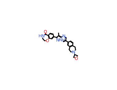 C=C(/C=N\c1[nH]nc(-c2ccc3c(c2)OCCNC3=O)c1C)c1ccc2c(c1)CCN(C1COC1)CC2